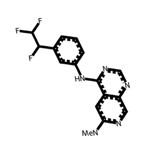 CNc1cc2c(Nc3cccc(C(F)C(F)F)c3)ncnc2cn1